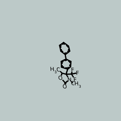 CC1OC(=O)N(C)C1(c1ccc(-c2ccccc2)cc1)C(F)(F)F